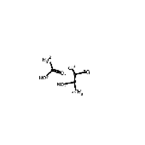 CC(=O)O.CC(O)C(Cl)Cl